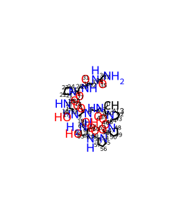 C[C@H](NC(=O)CNC(=O)[C@H](CO)NC(=O)[C@H](CO)NC(=O)[C@@H]1CCCN1C(=O)CNC(=O)CNC(=O)CN)C(=O)N1CCC[C@H]1C(=O)N1CCC[C@H]1C(=O)N1CCC[C@H]1C(=O)N[C@@H](CO)C(N)=O